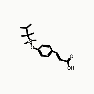 CC(C)C(C)(C)[Si](C)(C)Oc1ccc(/C=C/C(=O)O)cc1